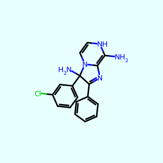 NC1=C2N=C(c3ccccc3)C(N)(c3cccc(Cl)c3)N2C=CN1